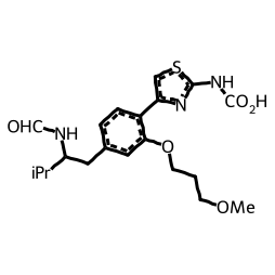 COCCCOc1cc(CC(NC=O)C(C)C)ccc1-c1csc(NC(=O)O)n1